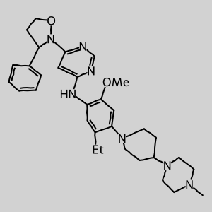 CCc1cc(Nc2cc(N3OCCC3c3ccccc3)ncn2)c(OC)cc1N1CCC(N2CCN(C)CC2)CC1